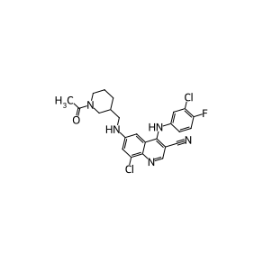 CC(=O)N1CCCC(CNc2cc(Cl)c3ncc(C#N)c(Nc4ccc(F)c(Cl)c4)c3c2)C1